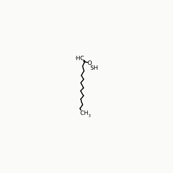 [CH]=C(CCCCCCCCCCCC)OS